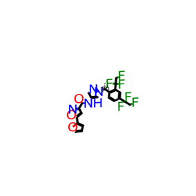 C[C@H](c1ccc(C(F)(F)CF)cc1C(F)(F)CF)n1cc(NC(=O)c2cc(-c3ccco3)on2)cn1